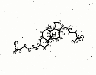 CCC(CC[C@@H](C)[C@H]1CCC2[C@@H]3CC=C4CC(SSCCCN(C)C)CC[C@]4(C)[C@H]3CC[C@@]21C)C(C)C